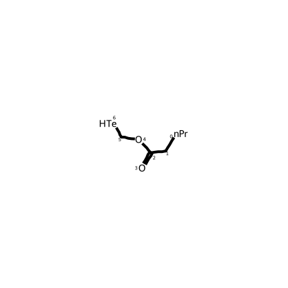 CCCCC(=O)OC[TeH]